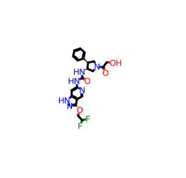 O=C(Nc1cc2[nH]nc(OCC(F)F)c2cn1)N[C@H]1CN(C(=O)CO)C[C@@H]1c1ccccc1